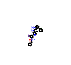 CCc1cnc(-c2cc(I)cc(NC(=O)CC3CCCCC3)c2)cc1/C(=N\I)c1cc2c(-c3ccccc3F)cccc2[nH]1